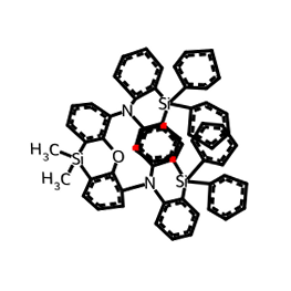 C[Si]1(C)c2cccc(N3c4ccccc4[Si](c4ccccc4)(c4ccccc4)c4ccccc43)c2Oc2c(N3c4ccccc4[Si](c4ccccc4)(c4ccccc4)c4ccccc43)cccc21